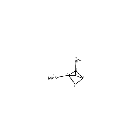 CCCC1C2CC1(NC)C2